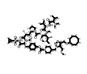 CC[C@H](C)[C@@H]([C@@H](CC(=O)N1CCC[C@H]1[C@H](OC)[C@@H](C)C(=O)N[C@@H](Cc1ccc(OC(=O)N2CCC(Cn3nnc(CSC4CCCCCCC4)c3CSC)CC2)cc1)C(=O)NS(=O)(=O)C1CC1)OC)N(C)C(=O)[C@@H](NC(=O)C(C(C)C)N(C)C)C(C)C